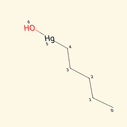 CCCC[CH2][Hg][OH]